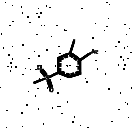 CC(=O)c1ccc(S(C)(=O)=O)cc1C